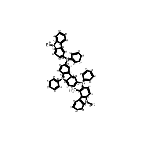 CCn1c2c(c3c(C)c(N(c4ccccc4)c4ccc5c(c4)c4cc(N(C6=CCCC=C6)c6ccc7c(c6)c6ccccc6n7CC)ccc4n5-c4ccccc4)ccc31)C=CCC2